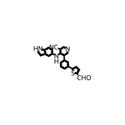 N#Cc1cncc(-c2cccc(-c3ccc(C=O)s3)c2)c1Nc1ccc2[nH]ccc2c1